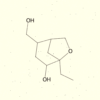 CCC12CC(CO1)C(CO)CC2O